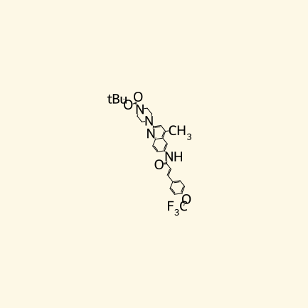 Cc1cc(N2CCN(C(=O)OC(C)(C)C)CC2)nc2ccc(NC(=O)C=Cc3ccc(OC(F)(F)F)cc3)cc12